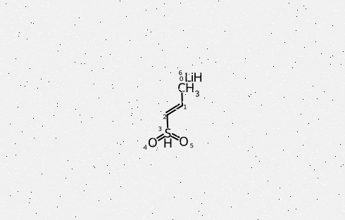 CC=C[SH](=O)=O.[LiH]